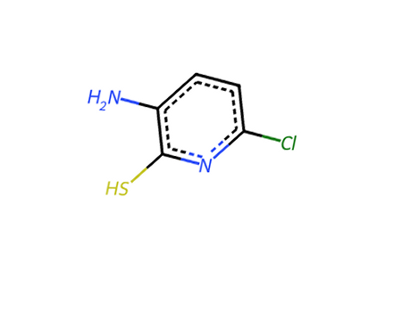 Nc1ccc(Cl)nc1S